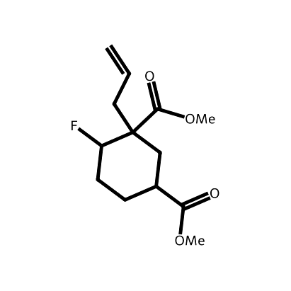 C=CCC1(C(=O)OC)CC(C(=O)OC)CCC1F